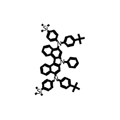 CC(C)(C)c1ccc(N(c2ccc([Si](C)(C)C)cc2)c2cc3c(c4ccccc24)c2c4ccccc4c(N(c4ccc(C(C)(C)C)cc4)c4ccc([Si](C)(C)C)cc4)cc2n3-c2ccccc2)cc1